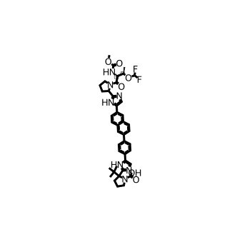 COC(=O)N[C@H](C(=O)N1CCCC1c1ncc(-c2ccc3cc(-c4ccc(-c5cnc(C6(C(C)(C)C)CCCN6C(=O)O)[nH]5)cc4)ccc3c2)[nH]1)[C@@H](C)OC(F)F